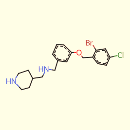 Clc1ccc(COc2cccc(CNCC3CCNCC3)c2)c(Br)c1